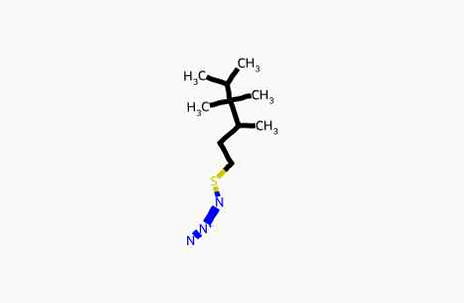 CC(C)C(C)(C)C(C)CCSN=[N+]=[N-]